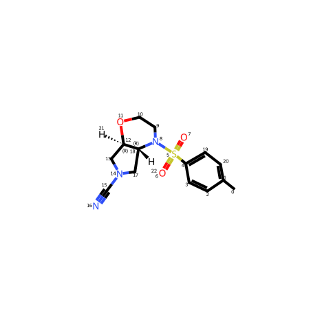 Cc1ccc(S(=O)(=O)N2CCO[C@@H]3CN(C#N)C[C@H]32)cc1